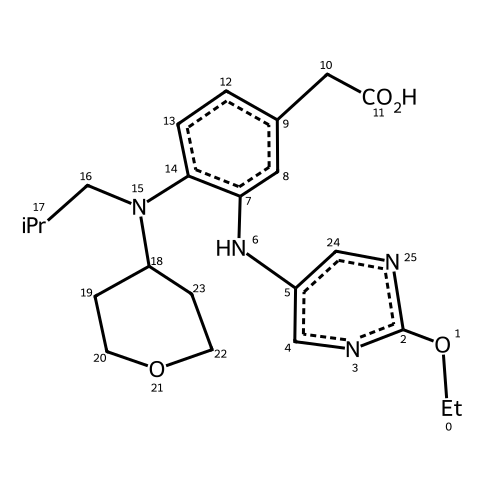 CCOc1ncc(Nc2cc(CC(=O)O)ccc2N(CC(C)C)C2CCOCC2)cn1